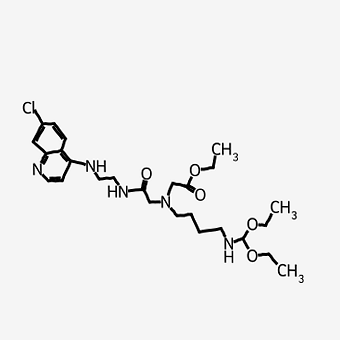 CCOC(=O)CN(CCCCNC(OCC)OCC)CC(=O)NCCNc1ccnc2cc(Cl)ccc12